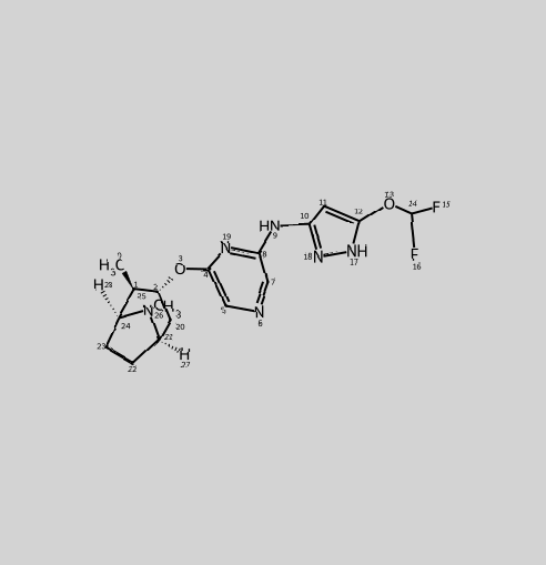 C[C@H]1[C@H](Oc2cncc(Nc3cc(OC(F)F)[nH]n3)n2)C[C@H]2CC[C@@H]1N2C